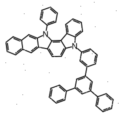 c1ccc(-c2cc(-c3ccccc3)cc(-c3cccc(-n4c5ccccc5c5c4ccc4c6cc7ccccc7cc6n(-c6ccccc6)c45)c3)c2)cc1